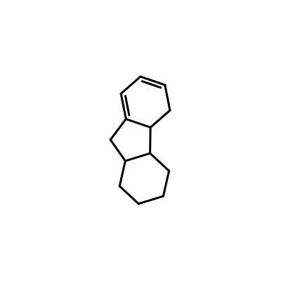 C1=CCC2C(=C1)CC1CCCCC12